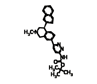 CN1Cc2cc(-c3ccc(NC(=O)OC(C)(C)C)nn3)ccc2[C@H](c2ccc3ccccc3c2)C1